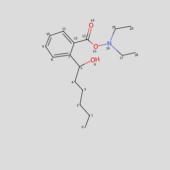 CCCCCC(O)c1ccccc1C(=O)ON(CC)CC